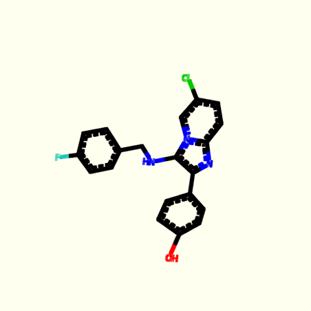 Oc1ccc(-c2nc3ccc(Cl)cn3c2NCc2ccc(F)cc2)cc1